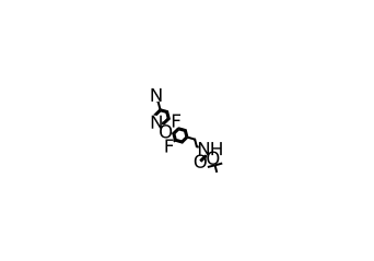 CC(C)(C)OC(=O)NCCc1cc(F)c(Oc2ccc(C#N)cn2)c(F)c1